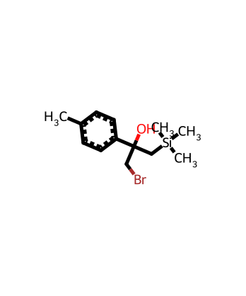 Cc1ccc(C(O)(CBr)C[Si](C)(C)C)cc1